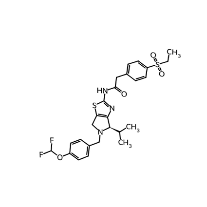 CCS(=O)(=O)c1ccc(CC(=O)Nc2nc3c(s2)CN(Cc2ccc(OC(F)F)cc2)[C@@H]3C(C)C)cc1